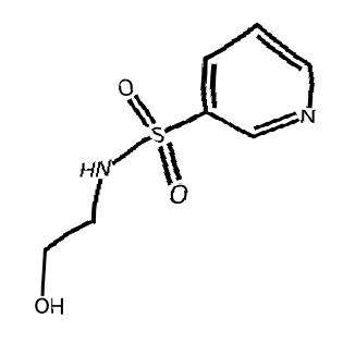 O=S(=O)(NCCO)c1cccnc1